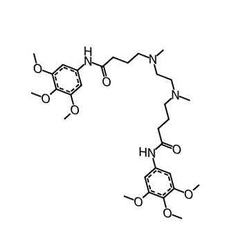 COc1cc(NC(=O)CCCN(C)CCN(C)CCCC(=O)Nc2cc(OC)c(OC)c(OC)c2)cc(OC)c1OC